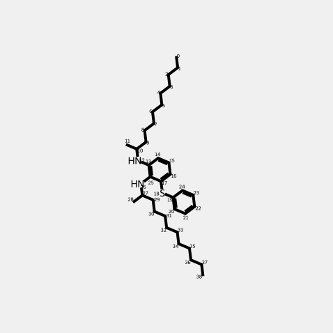 CCCCCCCCCCC(C)Nc1cccc(Sc2ccccc2)c1NC(C)CCCCCCCCCC